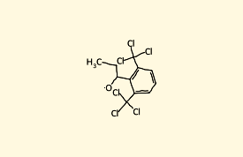 CCC([O])c1c(C(Cl)(Cl)Cl)cccc1C(Cl)(Cl)Cl